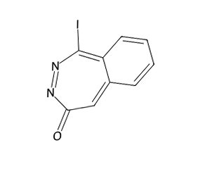 O=c1cc2ccccc2c(I)nn1